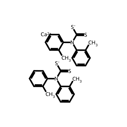 Cc1ccccc1N(C(=S)[S-])c1ccccc1C.Cc1ccccc1N(C(=S)[S-])c1ccccc1C.[Ca+2]